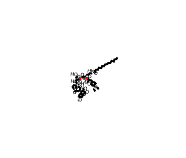 CCCCCCCCCCCCCCCC(=O)NCCCC[C@@H](NC(=O)c1cc2ccc(N(CC)CC)cc2oc1=O)C(=O)NNC(=O)[C@H](CC(=O)O)NC(=O)[C@@H]1CCCN2C(=O)CC[C@H](NC(=O)c3cc4ccc(OC)cc4oc3=O)C(=O)N12